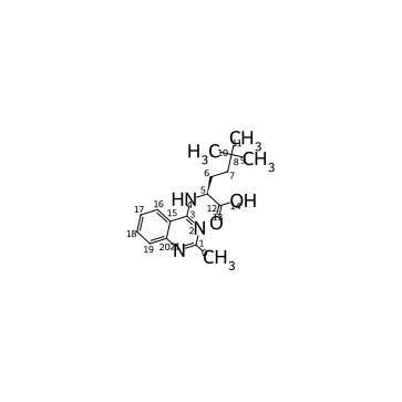 Cc1nc(N[C@@H](CCC(C)(C)C)C(=O)O)c2ccccc2n1